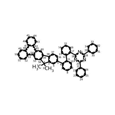 CC1(C)c2cc(-c3ccccc3-c3ccccc3-c3nc(-c4ccccc4)nc(-c4ccccc4)n3)ccc2-c2cc3c4ccccc4c4ccccc4c3cc21